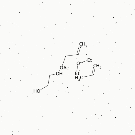 C=CC.C=CCOC(C)=O.CCOCC.OCCO